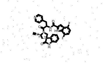 C#[N+][C@@H]1C[C@@]2(CN1C(=O)C(Cc1ccncc1)NC(=O)c1cc3c(F)ccc(F)c3[nH]1)C(=O)Nc1ccccc12